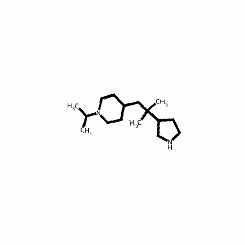 CC(C)N1CCC(CC(C)(C)C2CCNC2)CC1